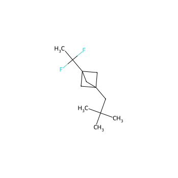 CC(C)(C)CC12CC(C(C)(F)F)(C1)C2